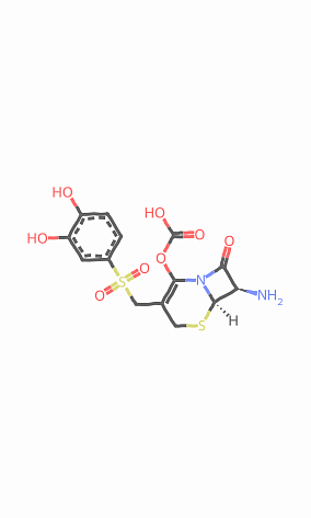 N[C@@H]1C(=O)N2C(OC(=O)O)=C(CS(=O)(=O)c3ccc(O)c(O)c3)CS[C@H]12